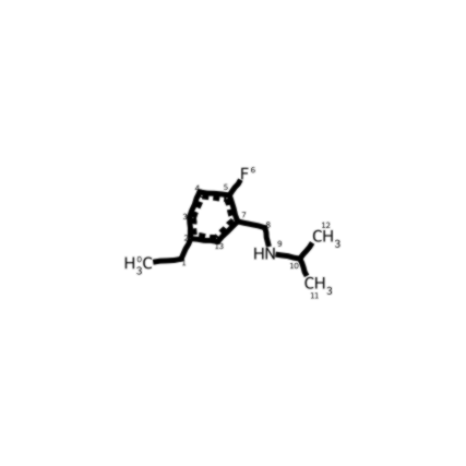 CCc1ccc(F)c(CNC(C)C)c1